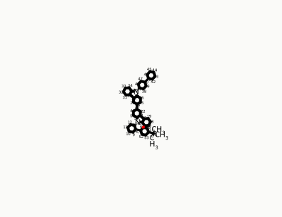 CC(C)(C)c1ccc(-c2ccccc2-n2c3ccccc3c3cc(-c4ccc5c(c4)c4ccccc4n5-c4ccc(-c5ccccc5)cc4)ccc32)cc1